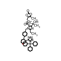 CCc1nc(C(C)(C)O)c(C(=O)OCc2oc(=O)oc2C)n1Cc1ccc(-c2ccccc2-c2nnnn2C(c2ccccc2)(c2ccccc2)c2ccccc2)cc1